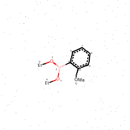 CCOB(OCC)c1ccccc1OC